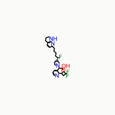 O=C(O)C(c1cccnc1C1CC(F)(F)C1)N1CC[C@@H](C(F)CCCCc2ccc3c(n2)NCCC3)C1